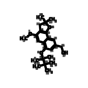 COc1cc2c(O[Si](C)(C)C(C)(C)C)cc(CO)cc2c2c1CC(C)(C)O2